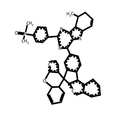 CC1CC=Cc2sc3c(-c4ccc5c(c4)C4(c6ccccc6OC6C=CC=CC64)c4ccc6ccccc6c4-5)nc(-c4ccc(P(C)(C)=O)cc4)nc3c21